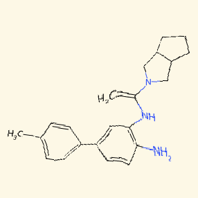 C=C(Nc1cc(-c2ccc(C)cc2)ccc1N)N1CC2CCCC2C1